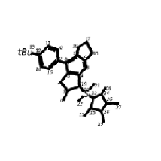 CC1Cc2c(cc3c(c2-c2ccc(C(C)(C)C)cc2)CCC3)C1S(C)(C)C1C(C)C(C)C(C)C1C